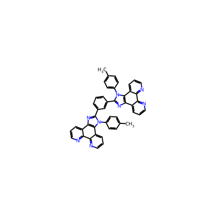 Cc1ccc(-n2c(-c3cccc(-c4nc5c6cccnc6c6ncccc6c5n4-c4ccc(C)cc4)c3)nc3c4cccnc4c4ncccc4c32)cc1